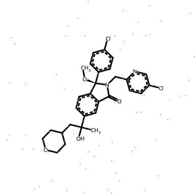 CO[C@]1(c2ccc(Cl)cc2)c2ccc(C(C)(O)CC3CCOCC3)cc2C(=O)N1Cc1ccc(Cl)cn1